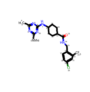 CNc1nc(C)nc(NC2CCC(C(=O)NCc3ccc(Cl)cc3C(F)(F)F)CC2)n1